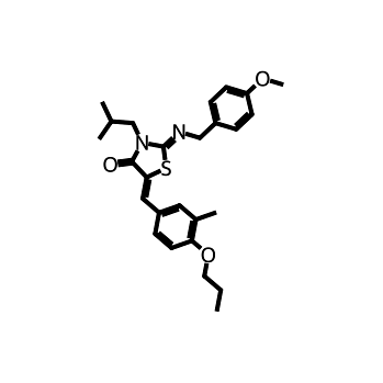 CCCOc1ccc(/C=C2\S/C(=N\Cc3ccc(OC)cc3)N(CC(C)C)C2=O)cc1C